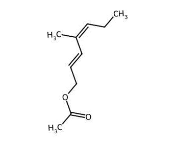 CCC=C(C)C=CCOC(C)=O